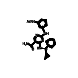 CC(=O)Nc1cccc(Nc2ncc(C(N)=O)c(N[C@@H](c3ccccc3)C3CC3)n2)c1